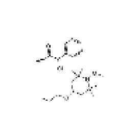 CCCOC1CC(C)(C)N(OC)C(C)(C)C1.O=C(O)C(O)c1ccccc1